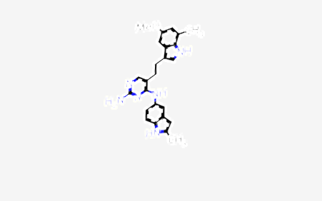 COc1cc(C)c2[nH]cc(CCc3cnc(N)nc3Nc3ccc4[nH]c(C)cc4c3)c2c1